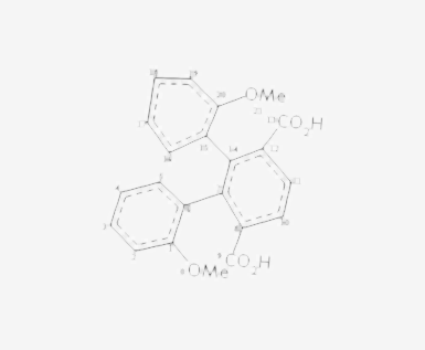 COc1ccccc1-c1c(C(=O)O)ccc(C(=O)O)c1-c1ccccc1OC